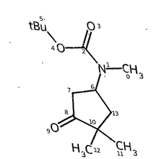 CN(C(=O)OC(C)(C)C)C1CC(=O)C(C)(C)C1